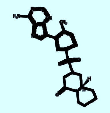 Cc1ccc(S(=O)(=O)N2CC(=O)N3CCCC[C@@H]3C2)cc1-c1cnc2c(N)ncnn12